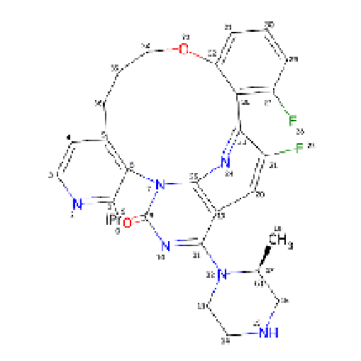 CC(C)c1nccc2c1-n1c(=O)nc(N3CCNC[C@@H]3C)c3cc(F)c(nc31)-c1c(F)cccc1OCCC2